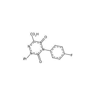 CC(C)n1nc(C(=O)O)c(=O)n(-c2ccc(F)cc2)c1=O